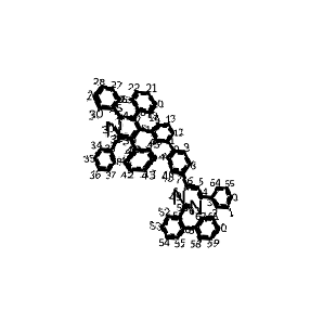 c1ccc(-c2cc(-c3ccc(-c4cccc(-c5c(-c6ccccc6)c(-c6ccccc6)nc(-c6ccccc6)c5-c5ccccc5)c4)cc3)nc(-c3ccccc3-c3ccccc3)n2)cc1